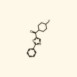 O=C(c1cnc(-c2ccccc2)s1)C1CCC(F)CC1